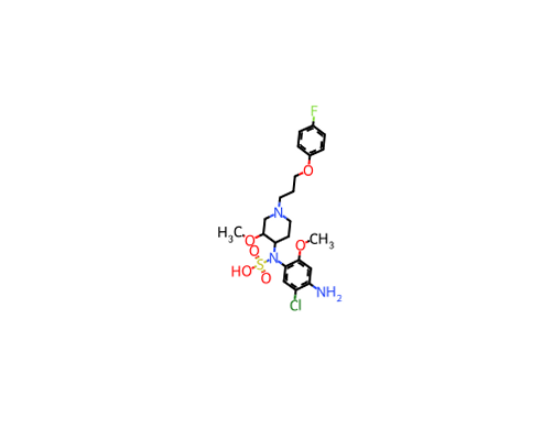 COc1cc(N)c(Cl)cc1N(C1CCN(CCCOc2ccc(F)cc2)CC1OC)S(=O)(=O)O